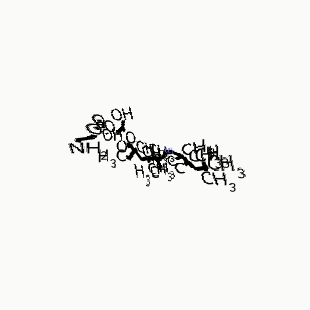 CCC(C)(CC(C)(C)C(C)(CC)C/C=C\C(C)(C)C(C)(C)CC(C)(C)C)C(=O)OC(CO)COP(=O)(O)OCCN